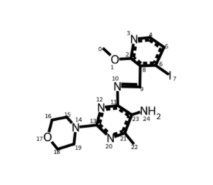 COc1nccc(I)c1C=Nc1nc(N2CCOCC2)nc(C)c1N